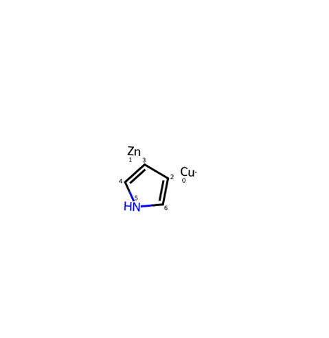 [Cu].[Zn].c1cc[nH]c1